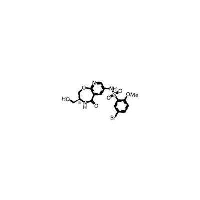 COc1ccc(Br)cc1S(=O)(=O)Nc1cnc2c(c1)C(=O)N[C@@H](CO)CO2